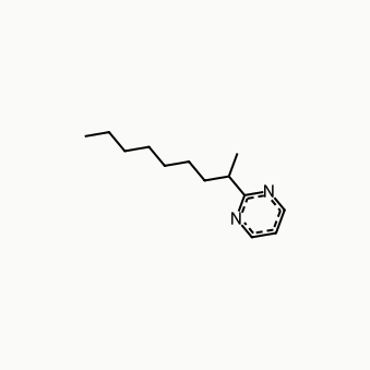 CCCCCCCC(C)c1ncccn1